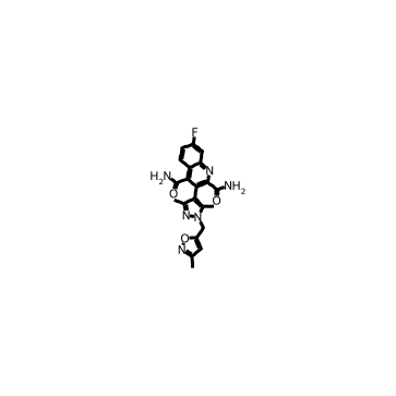 Cc1cc(Cn2nc(C)c(-c3c(C(N)=O)nc4cc(F)ccc4c3C(N)=O)c2C)on1